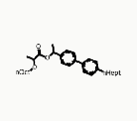 CCCCCCCCOC(C)C(=O)OC(C)c1ccc(-c2ccc(CCCCCCC)cc2)cc1